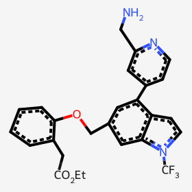 CCOC(=O)Cc1ccccc1OCc1cc(-c2ccnc(CN)c2)c2ccn(C(F)(F)F)c2c1